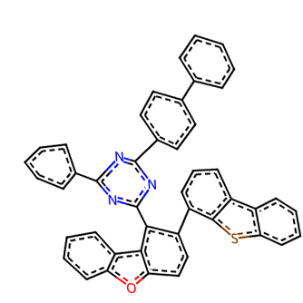 c1ccc(-c2ccc(-c3nc(-c4ccccc4)nc(-c4c(-c5cccc6c5sc5ccccc56)ccc5oc6ccccc6c45)n3)cc2)cc1